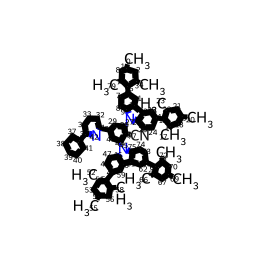 Cc1cc(C)c(-c2ccc3c(c2)c2cc(-c4c(C)cc(C)cc4C)ccc2n3-c2cc(-c3cccc(-c4ccccc4)n3)cc(-n3c4ccc(-c5c(C)cc(C)cc5C)cc4c4cc(-c5c(C)cc(C)cc5C)ccc43)c2C#N)c(C)c1